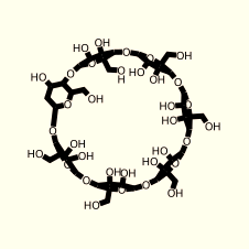 OCC1OC2CC(O)C1OC1OC(CO)C(OC3OC(CO)C(OC4OC(CO)C(OC5OC(CO)C(OC6OC(CO)C(OC7OC(CO)C(O2)C(O)C7O)C(O)C6O)C(O)C5O)C(O)C4O)C(O)C3O)C(O)C1O